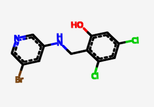 Oc1cc(Cl)cc(Cl)c1CNc1cncc(Br)c1